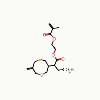 C=C1CSCC(C(CC(=O)O)C(=O)OCCOC(=O)C(=C)C)CSC1